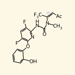 CC(=O)/C=C(\N(C)C(=O)Nc1nc(Oc2ccccc2O)c(F)cc1F)C(F)(F)F